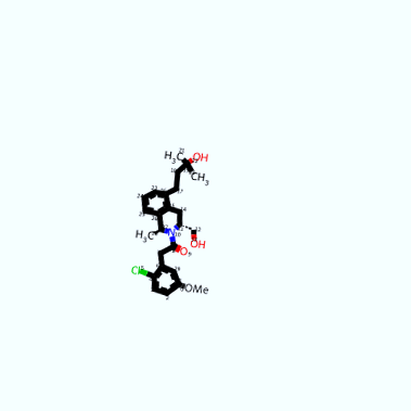 COc1ccc(Cl)c(CC(=O)N2[C@@H](CO)Cc3c(CCC(C)(C)O)cccc3[C@@H]2C)c1